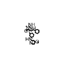 COc1ccnc(N[C@@H]2CCC[C@H](C[C@@]3(CCC4CCCCC4)NC(=N)N(C)C3=O)C2)c1